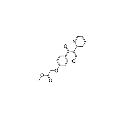 CCOC(=O)COc1ccc2c(=O)c(C3CC=CC=N3)coc2c1